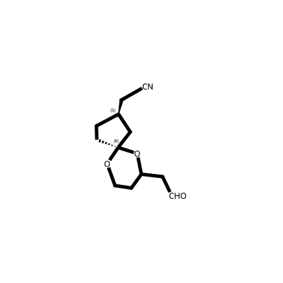 N#CC[C@@H]1CC[C@@]2(C1)OCCC(CC=O)O2